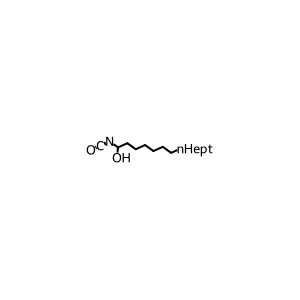 CCCCCCCCCCCCCC(O)N=C=O